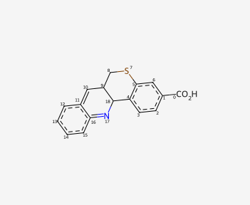 O=C(O)c1ccc2c(c1)SCC1C=c3ccccc3=NC21